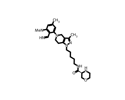 CNc1cc(C)cc(N2CCc3c(c(C)nn3CCCCCNC(=O)[C@@H]3COCCN3)C2)c1C=N